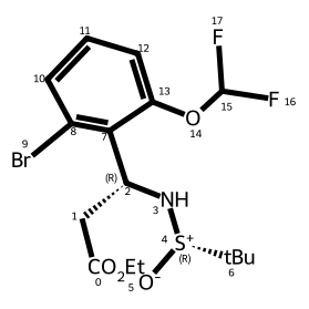 CCOC(=O)C[C@@H](N[S@@+]([O-])C(C)(C)C)c1c(Br)cccc1OC(F)F